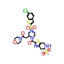 CS(=O)(=O)C1Cc2nc(C(=O)N3CCN(S(=O)(=O)c4cc5ccc(Cl)cc5s4)CC3CC(=O)N3CCOCC3)sc2CN1